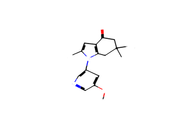 CCOc1cncc(-n2c(C)cc3c2CC(C)(C)CC3=O)c1